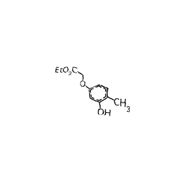 CCOC(=O)COc1ccc(C)c(O)c1